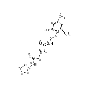 Cc1cc(C)n(CCNC(=O)CSCC(=O)NC2CCCC2)c(=O)c1